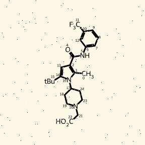 Cc1c(C(=O)Nc2cccc(C(F)(F)F)c2)cc(C(C)(C)C)n1C1CCN(CC(=O)O)CC1